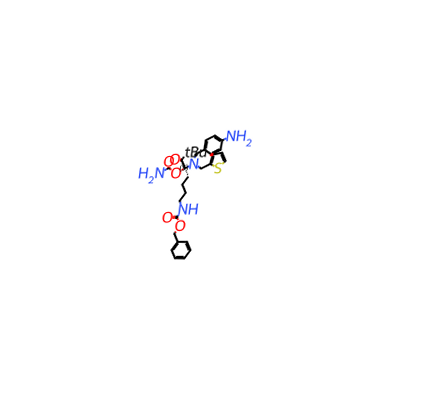 CC(C)(C)C(=O)[C@](CCCCNC(=O)OCc1ccccc1)(OC(N)=O)N(Cc1ccc(N)cc1)Cc1cccs1